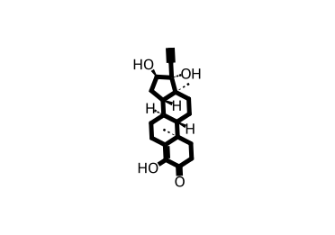 C#C[C@]1(O)[C@H](O)C[C@H]2[C@@H]3CCC4=C(O)C(=O)CC[C@]4(C)[C@H]3CC[C@@]21C